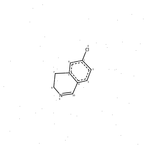 Clc1ccc2c(c1)CCN=C2